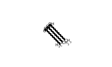 CCCCCCCCC=CCCCCCCCC(=O)O.CCCCCCCCC=CCCCCCCCC(=O)O.CCCCCCCCCCCCCCCCCC(=O)O